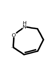 [CH]1C=CCCNO1